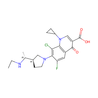 CCN[C@H](C)[C@@H]1CCN(c2c(F)cc3c(=O)c(C(=O)O)cn(C4CC4)c3c2Cl)C1